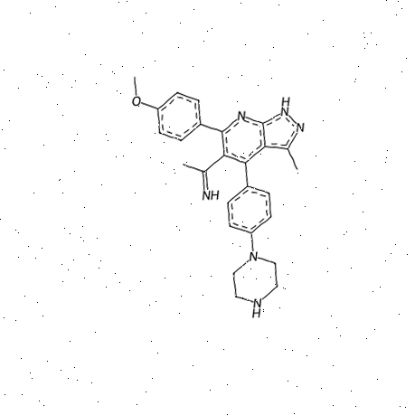 COc1ccc(-c2nc3[nH]nc(C)c3c(-c3ccc(N4CCNCC4)cc3)c2C(C)=N)cc1